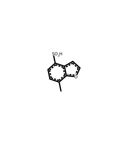 Cc1ccc(S(=O)(=O)O)c2ccoc12